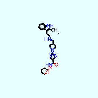 Cc1[nH]c2ccccc2c1CCNCC1CCN(c2ncc(C(=O)NOC3CCCCO3)cn2)CC1